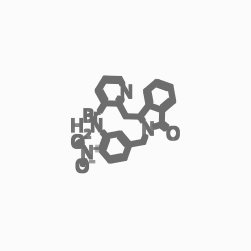 Nc1cc(CN2C(=O)c3ccccc3C2Cc2ncccc2Br)ccc1[N+](=O)[O-]